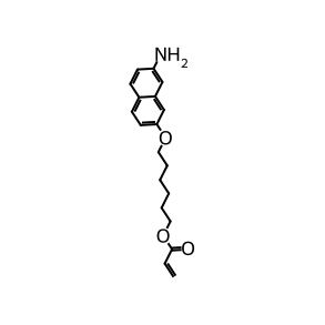 C=CC(=O)OCCCCCCOc1ccc2ccc(N)cc2c1